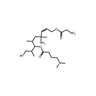 CC(C)CC(C)C(OC(=O)CCCN(C)C)C(C)CC(C)(N)/C=C\COC(=O)CN